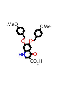 COc1ccc(COc2cc3[nH]cc(C(=O)O)c(=O)c3cc2OCc2ccc(OC)cc2)cc1